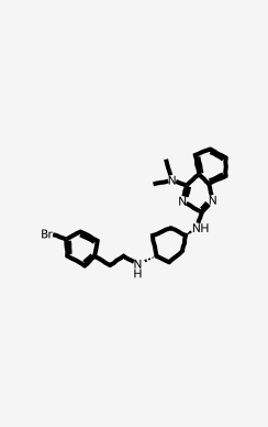 CN(C)c1nc(N[C@H]2CC[C@@H](NCCc3ccc(Br)cc3)CC2)nc2ccccc12